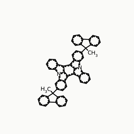 CC1(c2ccc3c4c5c6ccccc6n6c7cc(C8(C)c9ccccc9-c9ccccc98)ccc7c(c7c8ccccc8n(c3c2)c74)c56)c2ccccc2-c2ccccc21